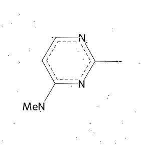 CNc1c[c]nc(C)n1